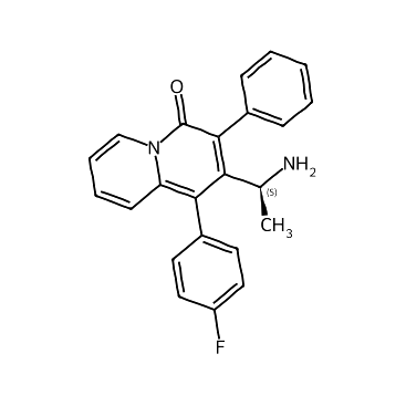 C[C@H](N)c1c(-c2ccccc2)c(=O)n2ccccc2c1-c1ccc(F)cc1